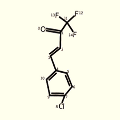 O=C(/C=C/c1ccc(Cl)cc1)C(F)(F)F